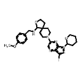 COc1ccc(CNC2OCCC23CCN(c2cnc4c(I)nn(C5CCCCO5)c4n2)CC3)cc1